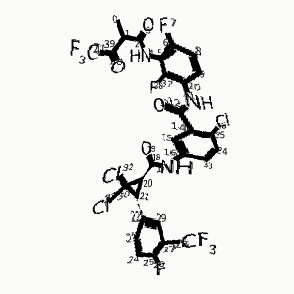 CC(C(=O)Nc1c(F)ccc(NC(=O)c2cc(NC(=O)[C@H]3[C@H](c4ccc(F)c(C(F)(F)F)c4)C3(Cl)Cl)ccc2Cl)c1F)C(=O)C(F)(F)F